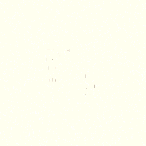 CCCP(c1cccc([Si](C)(C)C)c1O)c1cccc([Si](C)(C)C)c1O